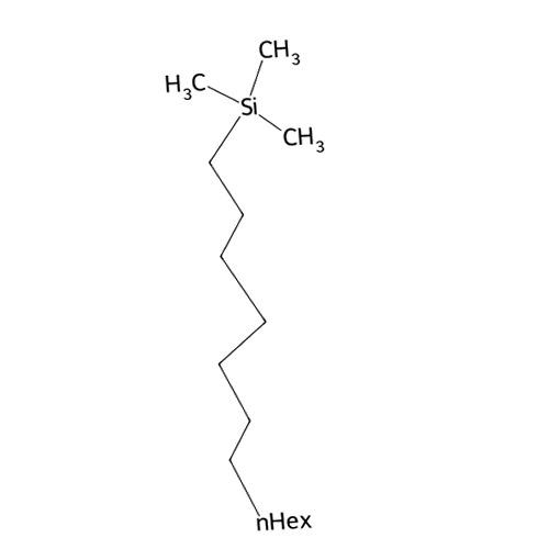 CCCCCCCCCCCCC[Si](C)(C)C